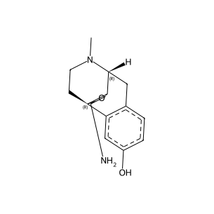 CN1CC[C@]23CC(N)COC2[C@H]1Cc1ccc(O)cc13